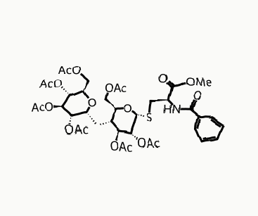 COC(=O)[C@H](CS[C@H]1O[C@H](COC(C)=O)[C@@H](C[C@H]2O[C@H](COC(C)=O)[C@@H](OC(C)=O)[C@H](OC(C)=O)[C@H]2OC(C)=O)[C@H](OC(C)=O)[C@H]1OC(C)=O)NC(=O)c1ccccc1